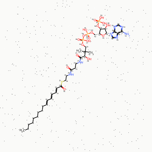 CCCCCCCCCC=CC=CC=CC(=O)SCCNC(=O)CCNC(=O)[C@H](O)C(C)(C)COP(=O)(O)OP(=O)(O)OC[C@H]1O[C@@H](n2cnc3c(N)ncnc32)[C@H](O)[C@@H]1OP(=O)(O)O